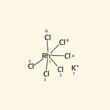 [Cl][Rh-]([Cl])([Cl])([Cl])([Cl])[Cl].[K+]